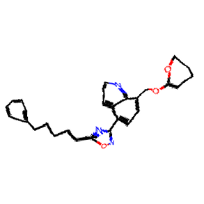 c1ccc(CCCCCc2nc(-c3ccc(COC4CCCCO4)c4ncccc34)no2)cc1